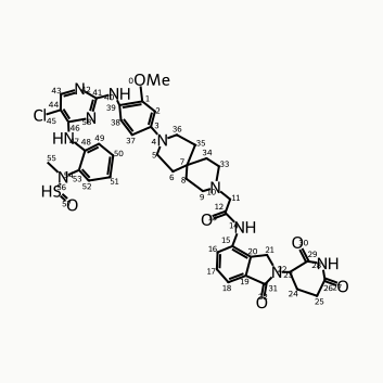 COc1cc(N2CCC3(CCN(CC(=O)Nc4cccc5c4CN(C4CCC(=O)NC4=O)C5=O)CC3)CC2)ccc1Nc1ncc(Cl)c(Nc2ccccc2N(C)[SH]=O)n1